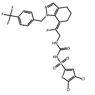 O=C(NCC(F)=C1CCCc2cnn(Cc3ccc(C(F)(F)F)cc3)c21)NS(=O)(=O)c1cc(Cl)c(Cl)s1